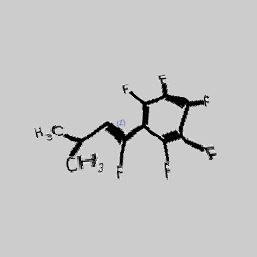 CC(C)/C=C(\F)c1c(F)c(F)c(F)c(F)c1F